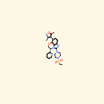 CCS(=O)(=O)N1CCN(c2nc3ccc(-c4c(C)noc4C)c4c3n2[C@@H](c2ccccn2)CO4)CC1